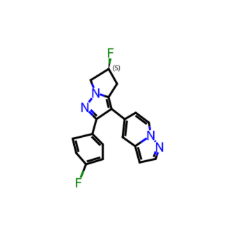 Fc1ccc(-c2nn3c(c2-c2ccn4nccc4c2)C[C@H](F)C3)cc1